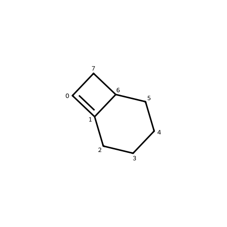 C1=C2CCCCC2C1